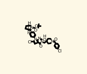 CC(C)(C)OC(=O)N1C[C@H]2CC[C@H](O2)[C@H]1c1ccc(-n2c(Cl)cc3c(=O)n(CC4(O)CCN(C(=O)c5ccc(Cl)cc5)CC4)cnc32)cc1